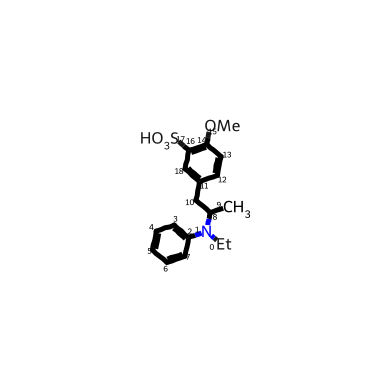 CCN(c1ccccc1)C(C)Cc1ccc(OC)c(S(=O)(=O)O)c1